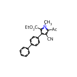 CCOC(=O)c1c(-c2ccc(-c3ccccc3)cc2)c(C#N)c(C(C)=O)n1C